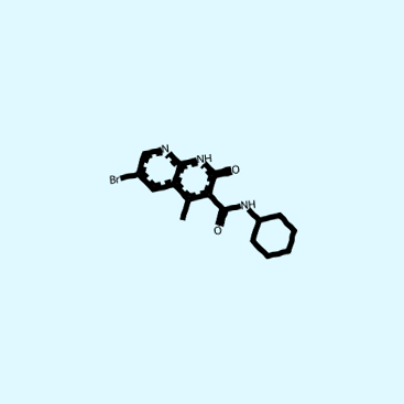 Cc1c(C(=O)NC2CCCCC2)c(=O)[nH]c2ncc(Br)cc12